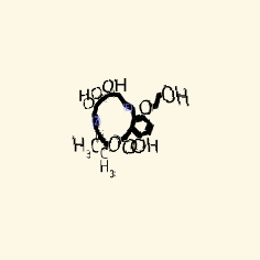 C[C@@H]1OC(=O)c2c(O)ccc(OCCO)c2/C=C/C[C@H](O)[C@H](O)C(=O)/C=C\[C@@H]1C